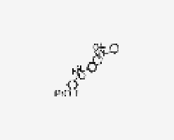 CC(C)Oc1ccc(-c2nnc(-c3ccc4c(c3)C[C@@]3(CC4)COC(C)(C)N3Cc3ccccc3)o2)cc1F